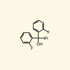 CC(C)C(O)(c1ccccc1F)c1ccccc1F